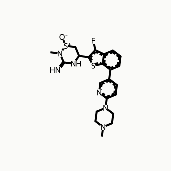 CN1CCN(c2ccc(-c3cccc4c(F)c(C5C[S+]([O-])N(C)C(=N)N5)sc34)cn2)CC1